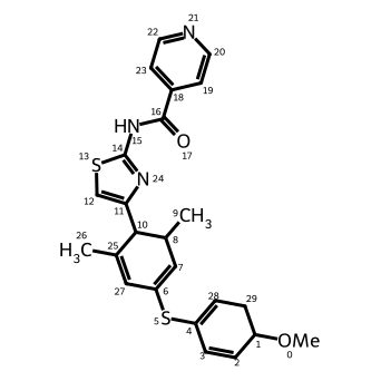 COC1C=CC(SC2=CC(C)C(c3csc(NC(=O)c4ccncc4)n3)C(C)=C2)=CC1